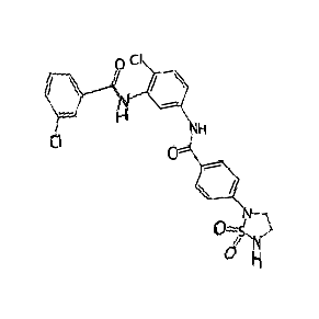 O=C(Nc1ccc(Cl)c(NC(=O)c2cccc(Cl)c2)c1)c1ccc(N2CCNS2(=O)=O)cc1